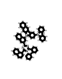 c1ccc(-c2ccccc2-c2nc(-c3cc(-n4c5ccc(-n6c7ccccc7c7ccccc76)cc5c5cc6ccccc6cc54)c4ccccc4c3)nc(-c3cccc4ccccc34)n2)cc1